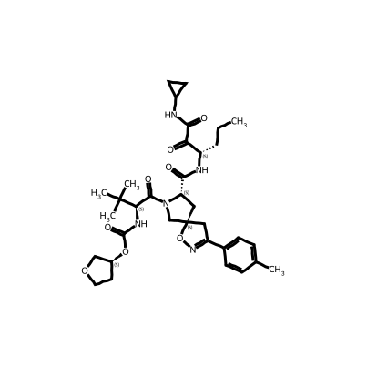 CCC[C@H](NC(=O)[C@@H]1C[C@]2(CC(c3ccc(C)cc3)=NO2)CN1C(=O)[C@@H](NC(=O)O[C@H]1CCOC1)C(C)(C)C)C(=O)C(=O)NC1CC1